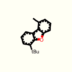 Cc1cccc2oc3c(C(C)(C)C)cccc3c12